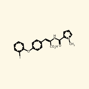 Cn1cccc1C(=O)N/C(=C/c1ccc(Oc2ccccc2I)cc1)C(=O)O